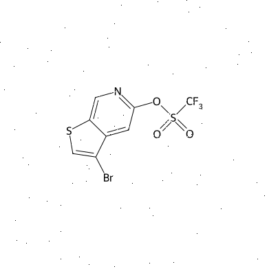 O=S(=O)(Oc1cc2c(Br)csc2cn1)C(F)(F)F